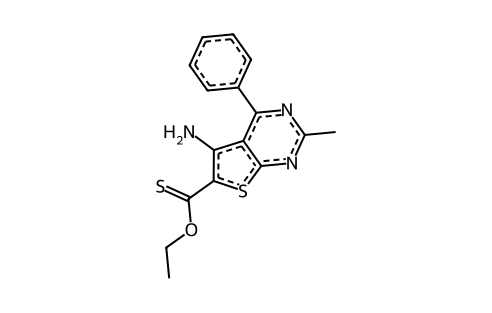 CCOC(=S)c1sc2nc(C)nc(-c3ccccc3)c2c1N